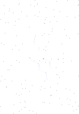 CCCCSC1(Cl)C=NC(N)N=C1N